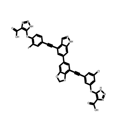 O=C(O)c1nn[nH]c1Oc1cc(Cl)cc(C#Cc2cc(-c3cc(C#Cc4ccc(Oc5[nH]nnc5C(=O)O)c(F)c4)c4cn[nH]c4c3)cc3c2OCO3)c1